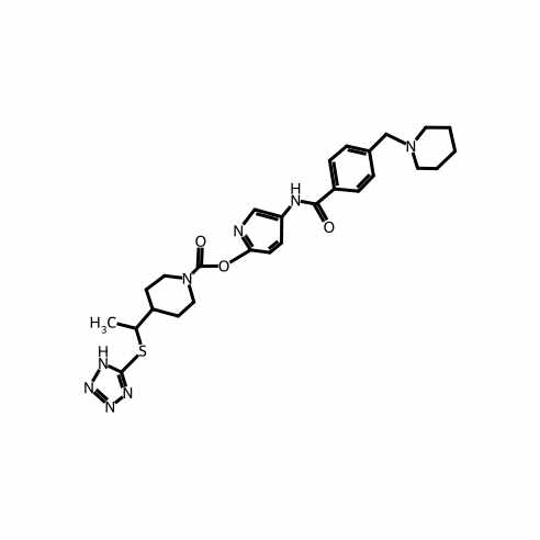 CC(Sc1nnn[nH]1)C1CCN(C(=O)Oc2ccc(NC(=O)c3ccc(CN4CCCCC4)cc3)cn2)CC1